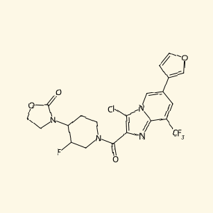 O=C(c1nc2c(C(F)(F)F)cc(-c3ccoc3)cn2c1Cl)N1CCC(N2CCOC2=O)C(F)C1